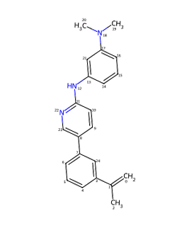 C=C(C)c1cccc(-c2ccc(Nc3cccc(N(C)C)c3)nc2)c1